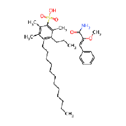 CCCCCCCCCCCCc1c(C)c(C)c(S(=O)(=O)O)c(C)c1CCC.COC(=Cc1ccccc1)C(N)=O